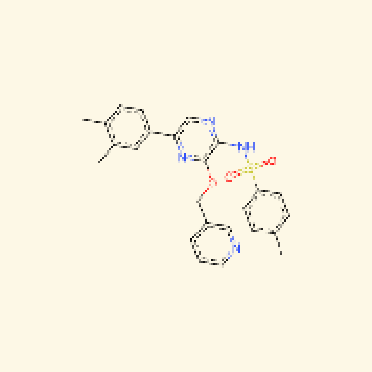 Cc1ccc(S(=O)(=O)Nc2ncc(-c3ccc(C)c(C)c3)nc2OCc2cccnc2)cc1